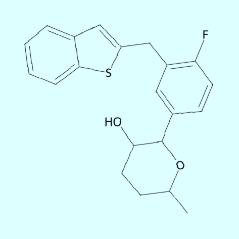 CC1CCC(O)C(c2ccc(F)c(Cc3cc4ccccc4s3)c2)O1